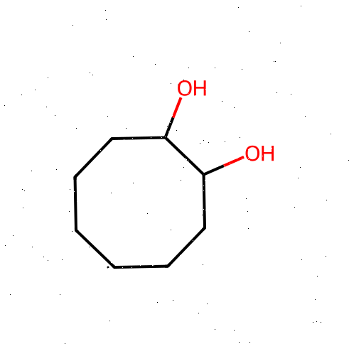 OC1CC[CH]CCCC1O